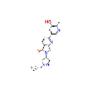 Cc1ncc(-c2ccc3c(n2)CN(C2C=NN(CC(F)(F)F)C2)C3=O)cc1O